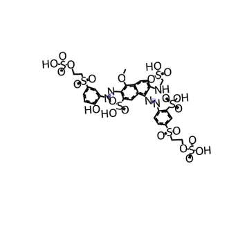 COc1c(/N=N/c2cc(S(=O)(=O)CCOS(=O)(=O)O)ccc2O)c(S(=O)(=O)O)cc2c(/N=N/c3ccc(S(=O)(=O)CCOS(=O)(=O)O)cc3S(=O)(=O)O)c(NCS(=O)(=O)O)ccc12